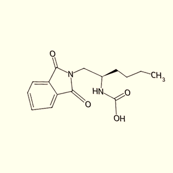 CCCC[C@H](CN1C(=O)c2ccccc2C1=O)NC(=O)O